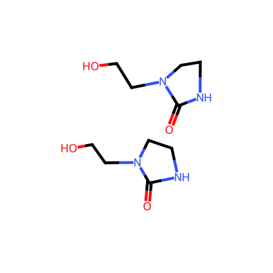 O=C1NCCN1CCO.O=C1NCCN1CCO